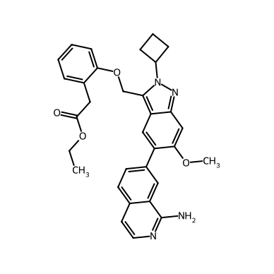 CCOC(=O)Cc1ccccc1OCc1c2cc(-c3ccc4ccnc(N)c4c3)c(OC)cc2nn1C1CCC1